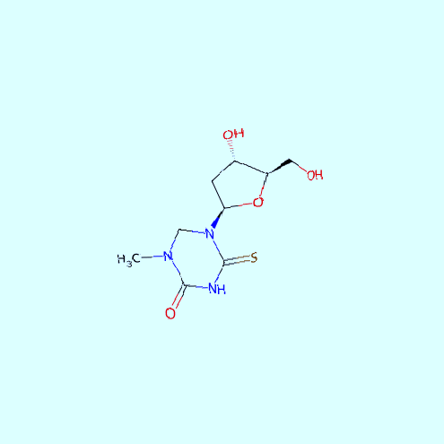 CN1CN([C@H]2C[C@H](O)[C@@H](CO)O2)C(=S)NC1=O